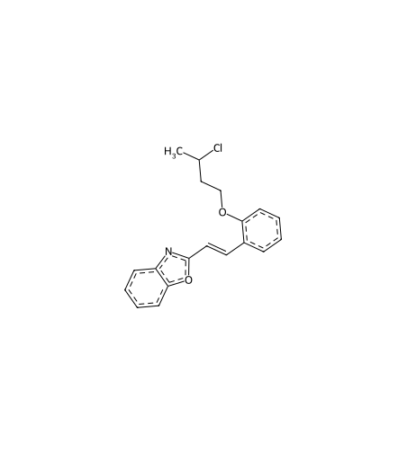 CC(Cl)CCOc1ccccc1/C=C/c1nc2ccccc2o1